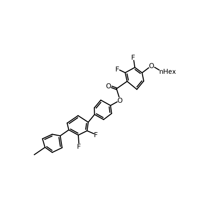 CCCCCCOc1ccc(C(=O)Oc2ccc(-c3ccc(-c4ccc(C)cc4)c(F)c3F)cc2)c(F)c1F